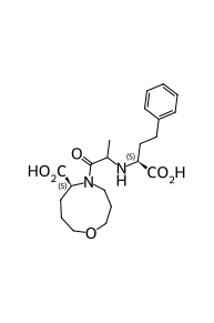 CC(N[C@@H](CCc1ccccc1)C(=O)O)C(=O)N1CCCOCCC[C@H]1C(=O)O